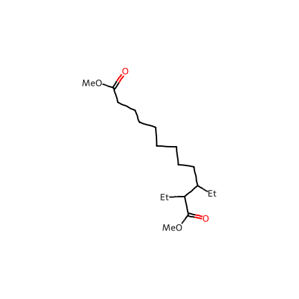 CCC(CCCCCCCCC(=O)OC)C(CC)C(=O)OC